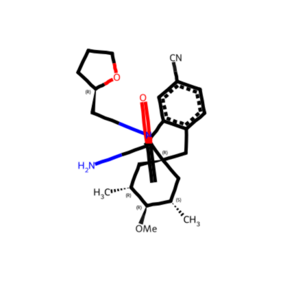 CO[C@H]1[C@H](C)C[C@@]2(Cc3ccc(C#N)cc3C23N=C(N)N(C[C@H]2CCCO2)C3=O)C[C@@H]1C